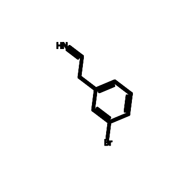 N=CCc1cccc(Br)c1